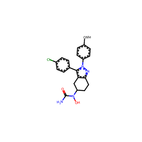 COc1ccc(-n2nc3c(c2-c2ccc(Cl)cc2)CC(N(O)C(N)=O)CC3)cc1